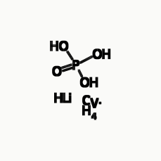 C.O=P(O)(O)O.[LiH].[V]